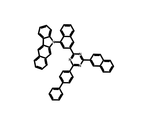 c1ccc(-c2ccc(-c3nc(-c4ccc5ccccc5c4)nc(-c4cc(-n5c6ccccc6c6cc7ccccc7cc65)c5ccccc5c4)n3)cc2)cc1